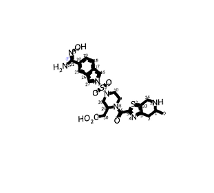 CC1Cc2nc(C(=O)N3CCN(S(=O)(=O)n4cc5ccc(/C(N)=N\O)cc5c4)CC3CC(=O)O)sc2CN1